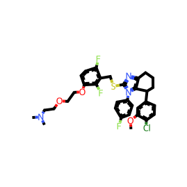 COc1cc(C2CCCc3nc(SCc4c(F)ccc(OCCOCCN(C)C)c4F)n(-c4ccc(F)cc4)c32)ccc1Cl